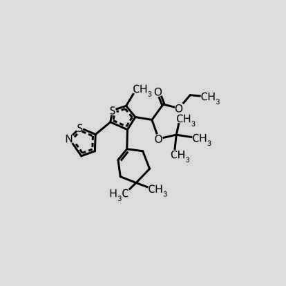 CCOC(=O)C(OC(C)(C)C)c1c(C)sc(-c2ccns2)c1C1=CCC(C)(C)CC1